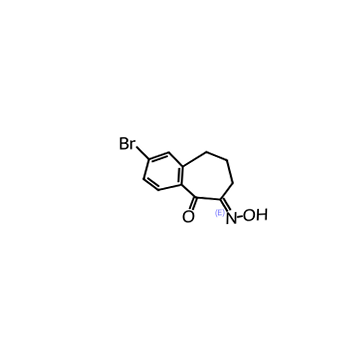 O=C1/C(=N/O)CCCc2cc(Br)ccc21